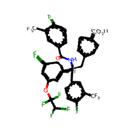 O=C(O)c1ccc(C[C@](NC(=O)c2ccc(F)c(C(F)(F)F)c2)(C2=CC(OC(F)(F)C(F)F)=CC(F)C2)c2ccc(F)c(C(F)(F)F)c2)cc1